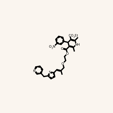 CCOC(=O)C1=C(C)NC(C)=C(C(=O)OCCOCC(C)=Cc2ccc(Cc3cccnc3)s2)C1c1cccc([N+](=O)[O-])c1